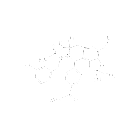 CCOc1cc2c(c3c1OC(C)(C)C3)C(c1ccc(C(=O)OC)cc1)N(N(Cc1cccc(Cl)c1)C(=O)C(F)(F)F)C(C)(C)C2